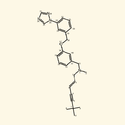 CN(CC=CC#CC(C)(C)C)Cc1cccc(OCc2cccc(-n3cncn3)c2)c1